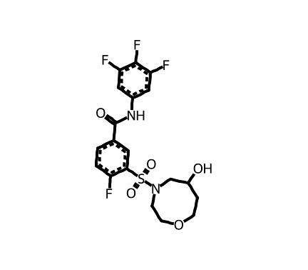 O=C(Nc1cc(F)c(F)c(F)c1)c1ccc(F)c(S(=O)(=O)N2CCOCCC(O)C2)c1